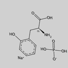 N[C@@H](Cc1ccccc1O)C(=O)O.O=P([O-])(O)O.[Na+]